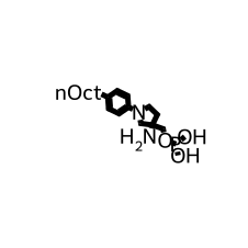 CCCCCCCCc1ccc(N2CCC(N)(COP(O)O)C2)cc1